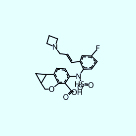 O=C(O)c1c(N(c2ccc(F)cc2C=CCN2CCC2)[SH](=O)=O)ccc2c1OCC1CC21